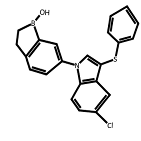 OB1CCc2ccc(-n3cc(Sc4ccccc4)c4cc(Cl)ccc43)cc21